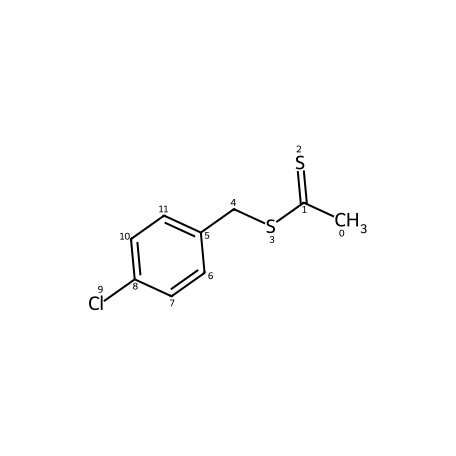 CC(=S)SCc1ccc(Cl)cc1